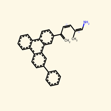 C=C(/C=C\C(C)=C/N)c1ccc2c3ccccc3c3ccc(-c4ccccc4)cc3c2c1